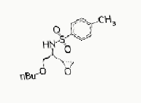 CCCCOC[C@@H](NS(=O)(=O)c1ccc(C)cc1)[C@@H]1CO1